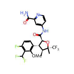 COc1c([C@@H]2[C@@H](C(=O)Nc3ccnc(C(N)=O)c3)O[C@](C)(C(F)(F)F)[C@H]2C)ccc(F)c1C(F)F